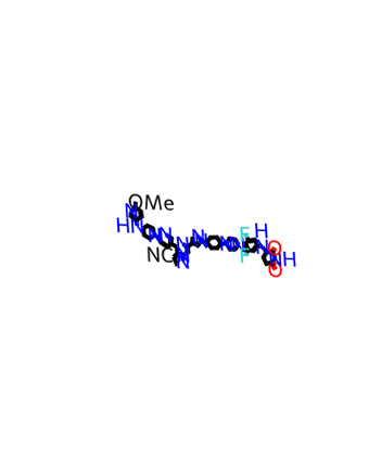 COc1ccc(NC2CCN(c3ccc(-c4nc(-c5cnn(C6CCC(N7CCN(c8c(F)cc(NC9CCC(=O)NC9=O)cc8F)CC7)CC6)c5)cn5ncc(C#N)c45)cn3)CC2)cn1